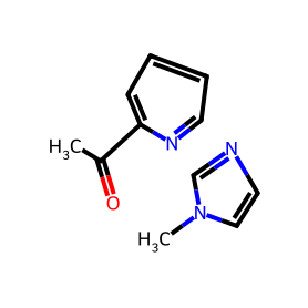 CC(=O)c1ccccn1.Cn1ccnc1